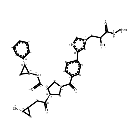 CCCCCCNC(=O)C(N)Cn1cnc(-c2ccc(C(=O)N3C[C@@H](C(=O)CC4C[C@@H]4CC)[C@H](C(=O)N[C@H]4C[C@@H]4c4ccccc4)C3)cc2)c1